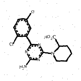 Nc1nc(-c2cc(Cl)ccc2Cl)nc(N2CCCCC2C(=O)O)n1